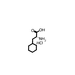 Cl.N[C@H](CC1CCCCC1)C(=O)O